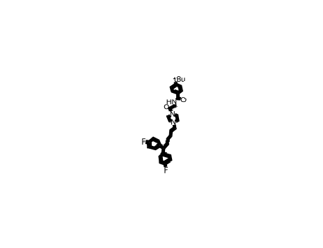 CC(C)(C)c1ccc(C(=O)NCC(=O)N2CCN(CCCCCC(c3ccc(F)cc3)c3ccc(F)cc3)CC2)cc1